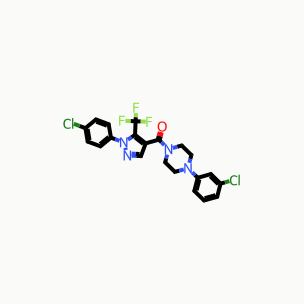 O=C(c1cnn(-c2ccc(Cl)cc2)c1C(F)(F)F)N1CCN(c2cccc(Cl)c2)CC1